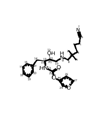 CC(C)(CCCC#N)CNC[C@@H](O)[C@H](Cc1ccccc1)NC(=O)Oc1ccoc1